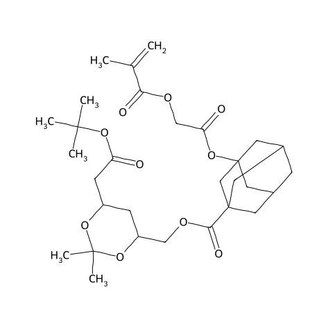 C=C(C)C(=O)OCC(=O)OC12CC3CC(C1)CC(C(=O)OCC1CC(CC(=O)OC(C)(C)C)OC(C)(C)O1)(C3)C2